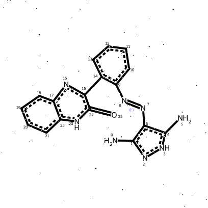 Nc1n[nH]c(N)c1/N=N/c1ccccc1-c1nc2ccccc2[nH]c1=O